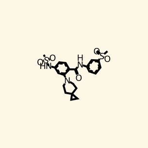 CS(=O)(=O)Nc1ccc(C(=O)Nc2cccc(S(C)(=O)=O)c2)c(N2CCC3(CC2)CC3)c1